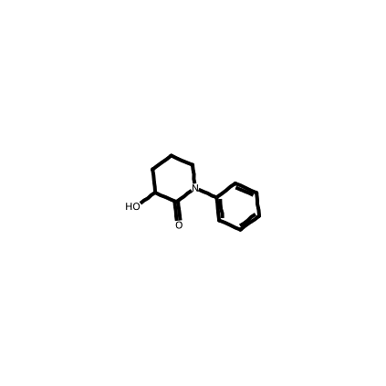 O=C1C(O)CCCN1c1ccccc1